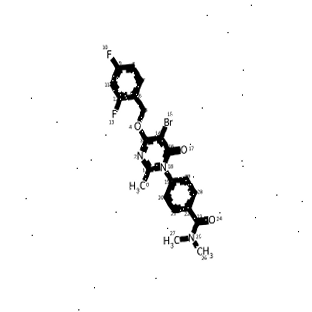 Cc1nc(OCc2ccc(F)cc2F)c(Br)c(=O)n1-c1ccc(C(=O)N(C)C)cc1